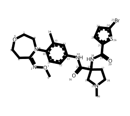 CON=C1CCOCCN1c1ccc(NC(=O)C2(NC(=O)c3ccc(Br)s3)CCN(C)C2)cc1C